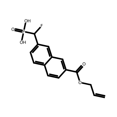 C=CCOC(=O)c1ccc2ccc(C(F)P(=O)(O)O)cc2c1